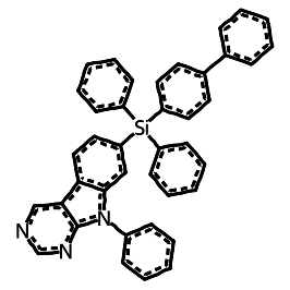 c1ccc(-c2ccc([Si](c3ccccc3)(c3ccccc3)c3ccc4c5cncnc5n(-c5ccccc5)c4c3)cc2)cc1